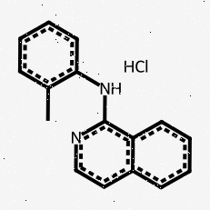 Cc1ccccc1Nc1nccc2ccccc12.Cl